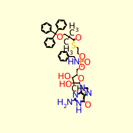 CC(C)(COC(c1ccccc1)(c1ccccc1)c1ccccc1)C(=O)SCCOP(=O)(NCc1ccccc1)OC[C@H]1O[C@@H](n2cnc3c(=O)[nH]c(N)nc32)[C@](C)(O)[C@@H]1O